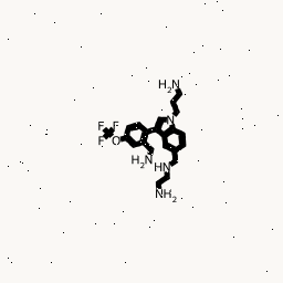 NCCCn1cc(-c2ccc(OC(F)(F)F)cc2CN)c2cc(CNCCN)ccc21